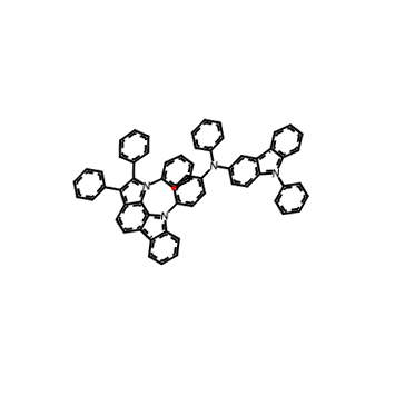 c1ccc(-c2c(-c3ccccc3)n(-c3ccccc3)c3c2ccc2c4ccccc4n(-c4ccc(N(c5ccccc5)c5ccc6c(c5)c5ccccc5n6-c5ccccc5)cc4)c23)cc1